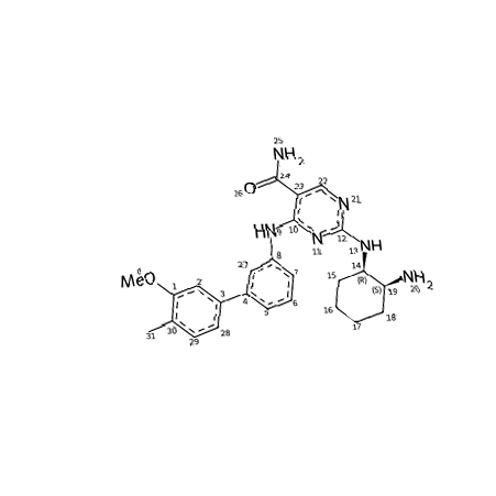 COc1cc(-c2cccc(Nc3nc(N[C@@H]4CCCC[C@@H]4N)ncc3C(N)=O)c2)ccc1C